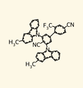 Cc1ccc2c(c1)c1ccccc1n2-c1cc(-c2ccc(C#N)cc2C(F)(F)F)cc(-n2c3ccccc3c3cc(C)ccc32)c1C#N